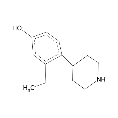 CCc1cc(O)ccc1C1CCNCC1